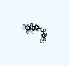 CCOc1ccc(C(=O)NCc2ccc3c(c2)C(=O)N([C@@]2(C)CCC(=O)NC2=O)C3=O)nc1